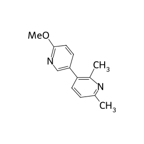 COc1ccc(-c2ccc(C)nc2C)cn1